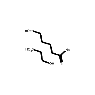 CCCCCCCCCCCC[C](=O)[Na].O=S(=O)(O)CCO